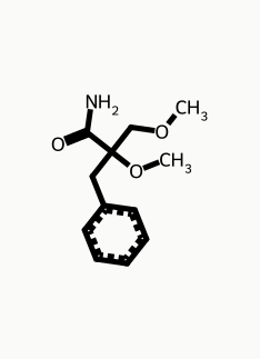 COCC(Cc1ccccc1)(OC)C(N)=O